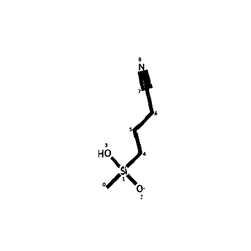 C[Si]([O])(O)CCCC#N